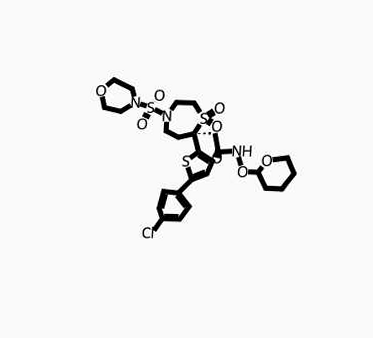 O=C(C[C@]1(c2ccc(-c3ccc(Cl)cc3)s2)CCN(S(=O)(=O)N2CCOCC2)CCS1(=O)=O)NOC1CCCCO1